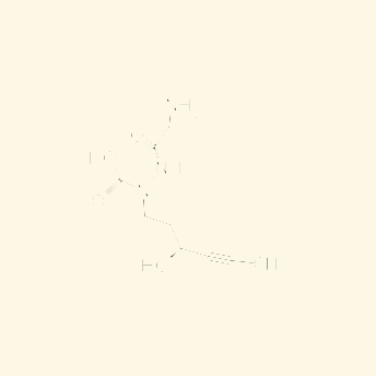 CC#C[C@@H](O)CCN(NC(=O)CN)C(=O)O